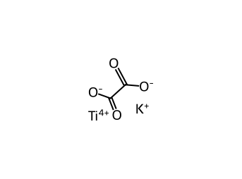 O=C([O-])C(=O)[O-].[K+].[Ti+4]